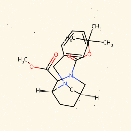 COC(=O)C1[C@@H]2CC[C@H](CN1C(=O)OC(C)(C)C)CN2Cc1ccccc1